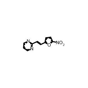 O=[N+]([O-])c1ccc(/C=C/c2ncccn2)o1